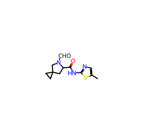 Cc1cnc(NC(=O)C2CC3(CC3)CN2C=O)s1